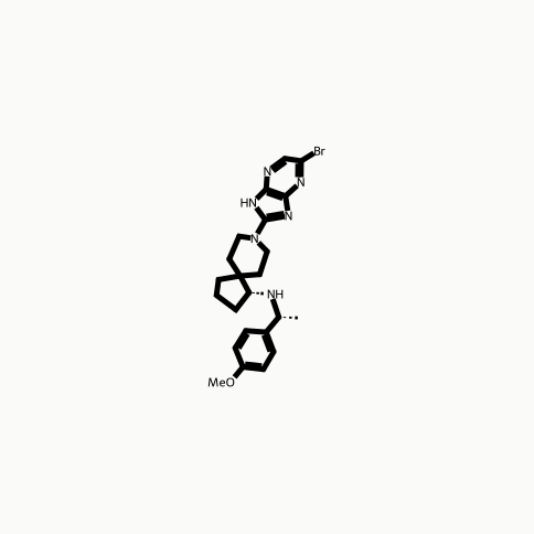 COc1ccc([C@@H](C)N[C@@H]2CCCC23CCN(c2nc4nc(Br)cnc4[nH]2)CC3)cc1